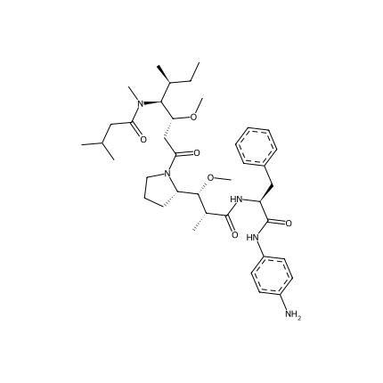 CC[C@H](C)[C@@H]([C@@H](CC(=O)N1CCC[C@H]1[C@H](OC)[C@@H](C)C(=O)N[C@@H](Cc1ccccc1)C(=O)Nc1ccc(N)cc1)OC)N(C)C(=O)CC(C)C